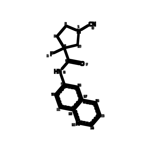 N#CN1CCC(F)(C(=O)Nc2ccc3ncccc3c2)C1